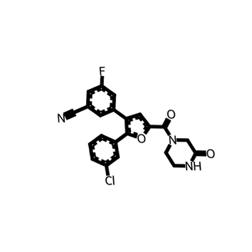 N#Cc1cc(F)cc(-c2cc(C(=O)N3CCNC(=O)C3)oc2-c2cccc(Cl)c2)c1